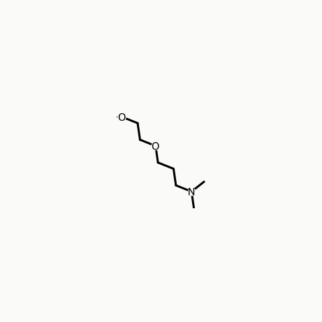 CN(C)CCCOCC[O]